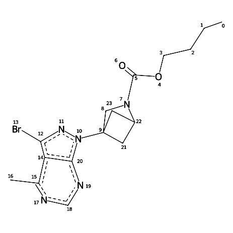 CCCCOC(=O)N1CC2(n3nc(Br)c4c(C)ncnc43)CC1C2